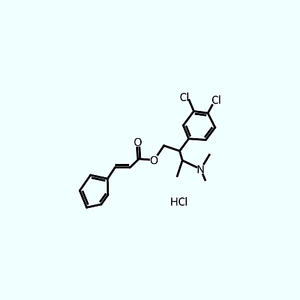 CC(C(COC(=O)C=Cc1ccccc1)c1ccc(Cl)c(Cl)c1)N(C)C.Cl